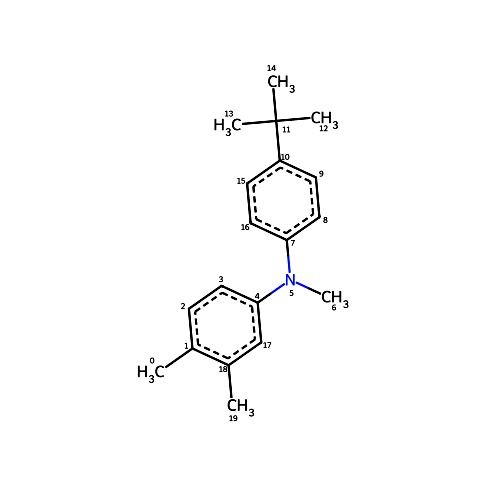 Cc1ccc(N(C)c2ccc(C(C)(C)C)cc2)cc1C